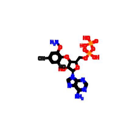 NOc1cc(N=O)cc(N=O)c1OC1[C@@H](COP(=O)(O)OP(=O)(O)O)O[C@@H](n2cnc3c(N)ncnc32)[C@H]1O